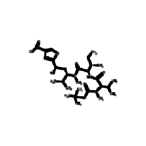 CC[C@H](C)[C@H](NC(=O)[C@@H](C(C)C)N(C)C(=O)OC(C)(C)C)C(=O)N(C)[C@H](C[C@@H](O)c1nc(C(=O)O)cs1)C(C)C